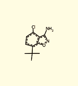 CC(C)(C)c1ccc(Cl)c2c(N)noc12